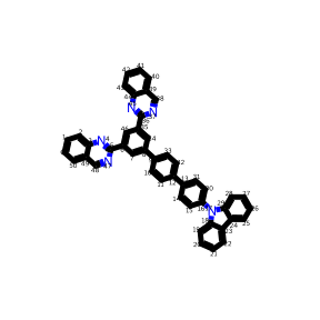 c1ccc2nc(-c3cc(-c4ccc(-c5ccc(-n6c7ccccc7c7ccccc76)cc5)cc4)cc(-c4ncc5ccccc5n4)c3)ncc2c1